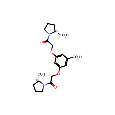 O=C(O)c1cc(OCC(=O)N2CCC[C@@H]2C(=O)O)cc(OCC(=O)N2CCC[C@@H]2C(=O)O)c1